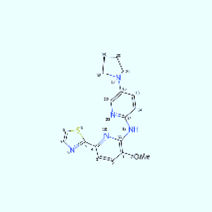 COc1ccc(-c2nccs2)nc1Nc1ccc(N2CCCC2)cn1